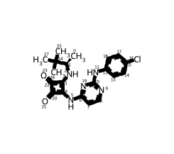 C[C@@H](Nc1c(Nc2ccnc(Nc3ccc(Cl)cc3)n2)c(=O)c1=O)C(C)(C)C